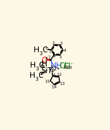 Cc1ccccc1C(=O)[NH][Ti+2]([C]1=CC=CC1)[SiH](C)C.[Cl-].[Cl-]